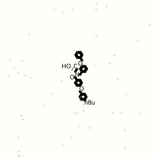 CCCCc1ccc(COc2ccc(C(=O)N(CCC(=O)O)Cc3cccc(OCc4ccccc4)c3)cc2)cc1